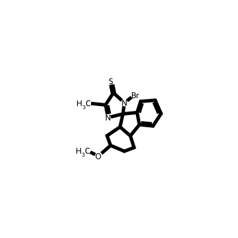 COC1CCC2c3ccccc3C3(N=C(C)C(=S)N3Br)C2C1